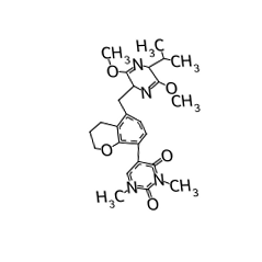 COC1=NC(C(C)C)C(OC)=NC1Cc1ccc(-c2cn(C)c(=O)n(C)c2=O)c2c1CCCO2